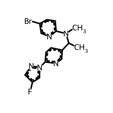 CC(c1ccc(-n2cc(F)cn2)nc1)N(C)c1ccc(Br)cn1